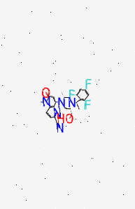 CC(c1c(F)cc(F)cc1F)N1C[C@@H](C)N(c2cc(=O)n(C)c3ccc(C#N)nc23)C[C@@H]1CO